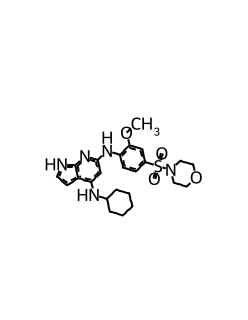 COc1cc(S(=O)(=O)N2CCOCC2)ccc1Nc1cc(NC2CCCCC2)c2cc[nH]c2n1